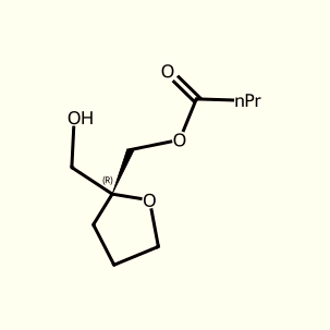 CCCC(=O)OC[C@]1(CO)CCCO1